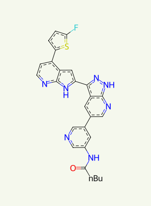 CCCCC(=O)Nc1cncc(-c2cnc3[nH]nc(-c4cc5c(-c6ccc(F)s6)ccnc5[nH]4)c3c2)c1